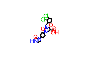 O=C(O)c1cn(-c2ccc(-n3cc[nH]c3=O)cc2)c(=O)n(Cc2cccc(Cl)c2Cl)c1=O